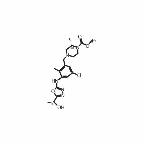 Cc1c(CN2CCN(C(=O)OC(C)C)[C@@H](C)C2)cc(Cl)cc1Nc1nnc([C@H](C)O)o1